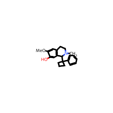 COc1cc2c(cc1O)C(C1(c3ccccc3)CCC1)N(C)CC2